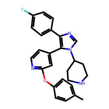 Cc1ccc(Oc2cc(-c3c(-c4ccc(F)cc4)ncn3C3CCNCC3)ccn2)cc1